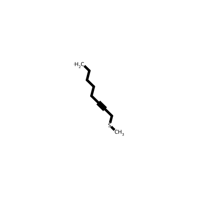 [CH2]CCCCC#CCSC